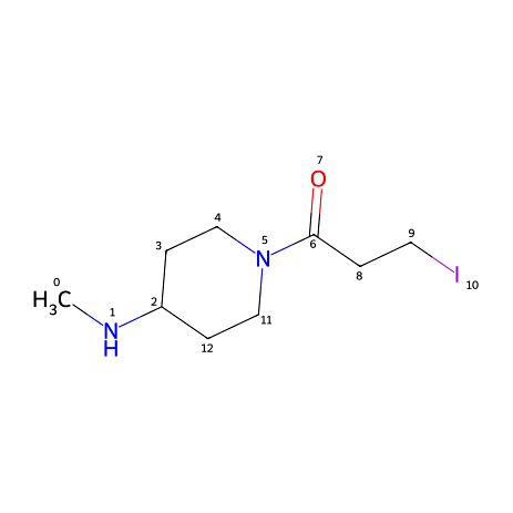 CNC1CCN(C(=O)CCI)CC1